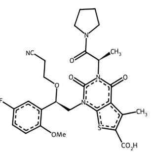 COc1ccc(F)cc1[C@H](Cn1c(=O)n([C@H](C)C(=O)N2CCCC2)c(=O)c2c(C)c(C(=O)O)sc21)OCCC#N